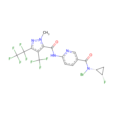 Cn1nc(C(F)(F)C(F)(F)F)c(C(F)(F)F)c1C(=O)Nc1ccc(C(=O)N(Br)[C@@H]2C[C@@H]2F)cn1